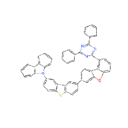 C1=CC2c3ccccc3N(c3ccc4sc5ccc(-c6ccc7c(c6)oc6cccc(-c8nc(-c9ccccc9)nc(-c9ccccc9)n8)c67)cc5c4c3)C2C=C1